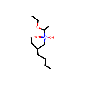 CCCCC(CC)C[N+](O)(O)C(C)OCC